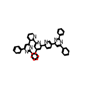 c1ccc(-c2cc(-c3ccc(-c4cc(-c5ccccc5)nc(-c5ccccc5)n4)cn3)nc(-c3ncccc3-c3cc(-c4ccccc4)nc(-c4ccccc4)n3)c2)cc1